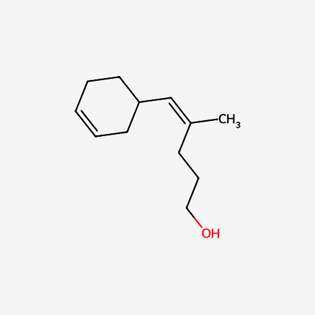 CC(=CC1CC=CCC1)CCCO